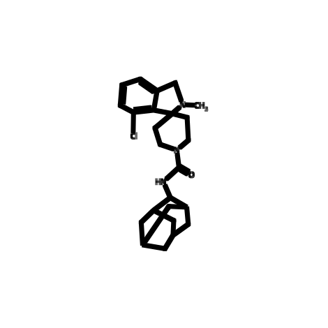 CN1Cc2cccc(Cl)c2C12CCN(C(=O)NC1C3CC4CC(C3)CC1C4)CC2